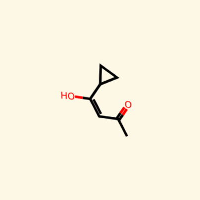 CC(=O)/C=C(/O)C1CC1